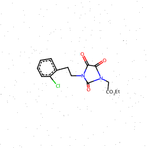 CCOC(=O)CN1C(=O)C(=O)N(CCc2ccccc2Cl)C1=O